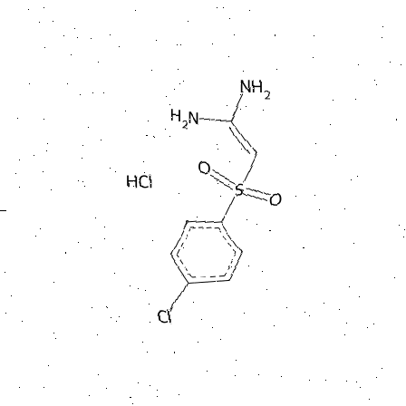 Cl.NC(N)=CS(=O)(=O)c1ccc(Cl)cc1